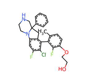 Cc1ccc(OCCO)c(F)c1-c1c(Cl)c(F)cc2c1CC1(c3ccccc3)CNCCN21